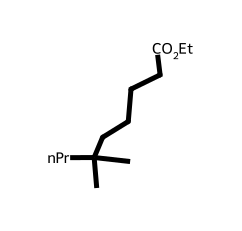 CCCC(C)(C)CCCCC(=O)OCC